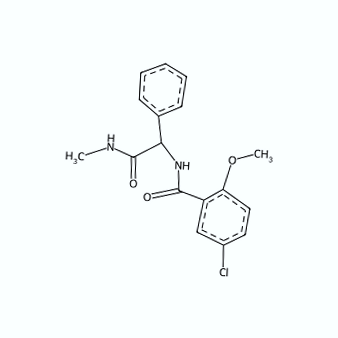 CNC(=O)C(NC(=O)c1cc(Cl)ccc1OC)c1ccccc1